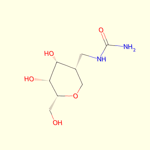 NC(=O)NC[C@@H]1CO[C@H](CO)[C@H](O)[C@@H]1O